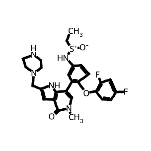 CC[S+]([O-])Nc1ccc(Oc2ccc(F)cc2F)c(-c2cn(C)c(=O)c3cc(CN4CCNCC4)[nH]c23)c1